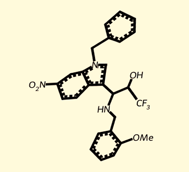 COc1ccccc1CNC(c1cn(Cc2ccccc2)c2cc([N+](=O)[O-])ccc12)C(O)C(F)(F)F